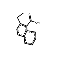 [CH2]Cc1ccc2ccccc2c1C(=O)O